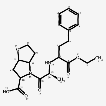 CCOC(=O)C(CCc1ccccc1)N[C@@H](C)C(=O)N1C(C(=O)O)CC2OCCC21